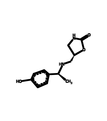 C[C@H](NC[C@@H]1CNC(=O)O1)c1ccc(O)cc1